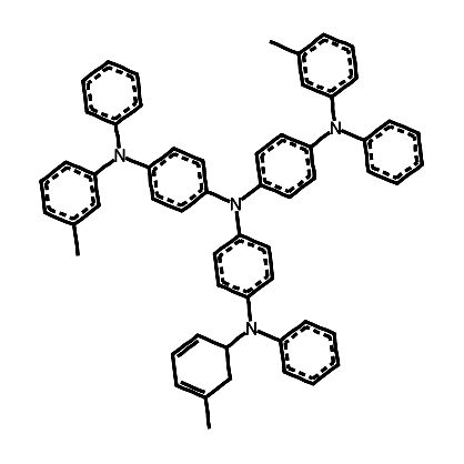 CC1=CC=CC(N(c2ccccc2)c2ccc(N(c3ccc(N(c4ccccc4)c4cccc(C)c4)cc3)c3ccc(N(c4ccccc4)c4cccc(C)c4)cc3)cc2)C1